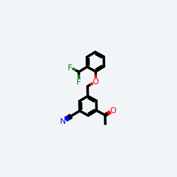 CC(=O)c1cc(C#N)cc(COc2ccccc2C(F)F)c1